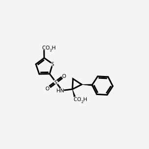 O=C(O)c1ccc(S(=O)(=O)N[C@]2(C(=O)O)C[C@H]2c2ccccc2)s1